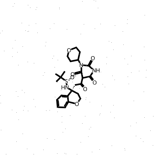 CC(C)(C)[S@+]([O-])N[C@@]1(CC(=O)C2C(=O)NC(=O)N(C3CCOCC3)C2=O)CCOc2ccccc21